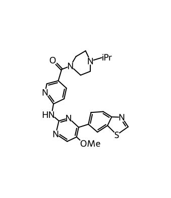 COc1cnc(Nc2ccc(C(=O)N3CCN(C(C)C)CC3)cn2)nc1-c1ccc2ncsc2c1